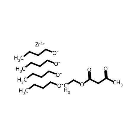 CCCC[O-].CCCC[O-].CCCC[O-].CCCC[O-].CCOC(=O)CC(C)=O.[Zr+4]